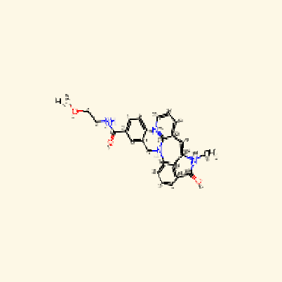 COCCNC(=O)c1cccc(CN2c3cccc4c3C(=Cc3cccnc32)N(C)C4=O)c1